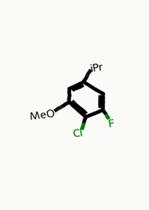 COc1cc(C(C)C)cc(F)c1Cl